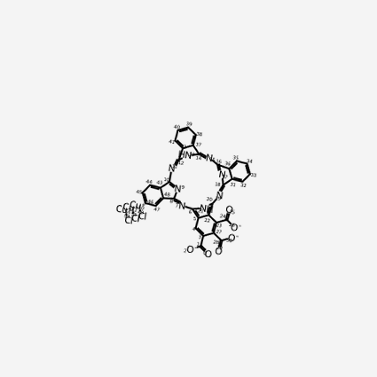 O=C([O-])c1cc2c3nc4nc(nc5[nH]c(nc6nc(nc([nH]3)c2c(C(=O)[O-])c1C(=O)[O-])-c1ccccc1-6)c1ccccc51)-c1ccccc1-4.[Cl][Cu+].[Cl][Cu+].[Cl][Cu+]